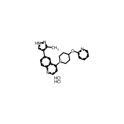 Cc1n[nH]cc1-c1ccc2nccc(N3CCC(Oc4ccccn4)CC3)c2c1.Cl.Cl